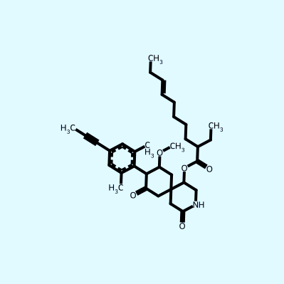 CC#Cc1cc(C)c(C2C(=O)CC3(CC(=O)NCC3OC(=O)C(CC)CCCCC=CCC)CC2OC)c(C)c1